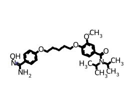 COc1cc(C(=O)N(C(C)C)C(C)C)ccc1OCCCCCOc1ccc(/C(N)=N\O)cc1